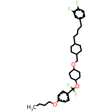 CCCCOc1ccc(C(F)(F)OC2CCC(OCC3CCC(CCCCc4ccc(F)c(F)c4)CC3)CC2)cc1